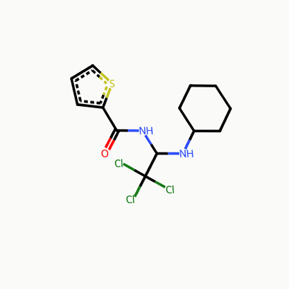 O=C(NC(NC1CCCCC1)C(Cl)(Cl)Cl)c1cccs1